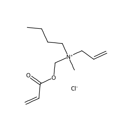 C=CC[N+](C)(CCCC)COC(=O)C=C.[Cl-]